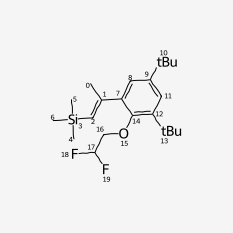 CC(=C[Si](C)(C)C)c1cc(C(C)(C)C)cc(C(C)(C)C)c1OCC(F)F